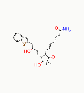 CC1(C)C(=O)C(CC=CCCCC(N)=O)[C@@H](C=CC(O)Cc2cc3ccccc3s2)C1O